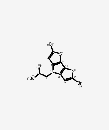 CCCCC(CC)Cn1c2cc(Br)sc2c2sc(Br)cc21